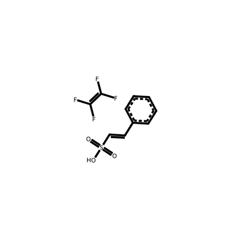 FC(F)=C(F)F.O=S(=O)(O)C=Cc1ccccc1